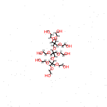 OCCOCC(COCCO)(COCCO)COCC(COCCO)(COCCO)COCC(COCCO)(COCCO)COCCO